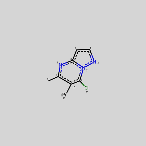 Cc1nc2ccnn2c(Cl)c1C(C)C